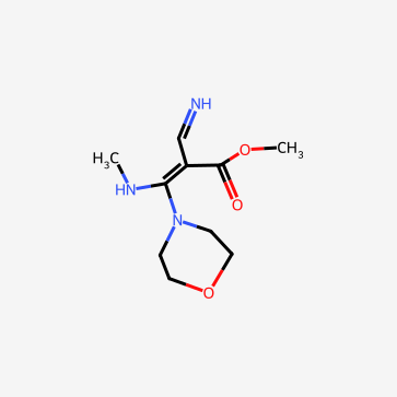 CN/C(=C(\C=N)C(=O)OC)N1CCOCC1